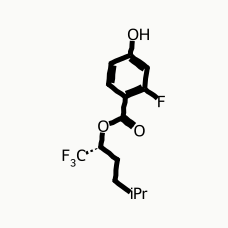 CC(C)CC[C@@H](OC(=O)c1ccc(O)cc1F)C(F)(F)F